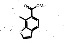 COC(=O)c1ccc2ccsc2c1C